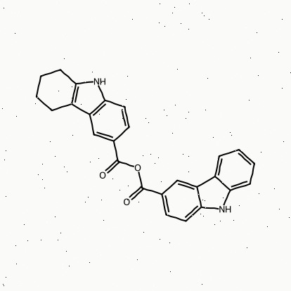 O=C(OC(=O)c1ccc2[nH]c3ccccc3c2c1)c1ccc2[nH]c3c(c2c1)CCCC3